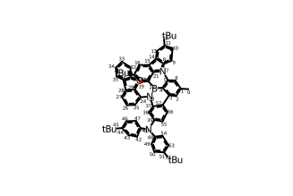 Cc1cc2c3c(c1)-n1c4ccc(C(C)(C)C)cc4c4cc(C(C)(C)C)cc(c41)B3N(c1cccc3c1oc1ccccc13)c1cc(N(c3ccc(C(C)(C)C)cc3)c3ccc(C(C)(C)C)cc3)ccc1-2